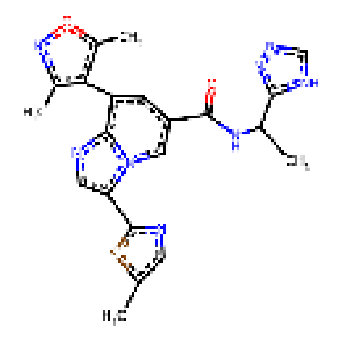 Cc1cnc(-c2cnc3c(-c4c(C)noc4C)cc(C(=O)NC(C)c4nnc[nH]4)cn23)s1